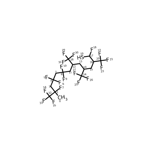 CC(F)(CC(F)(F)CC(F)(F)CC(CC(CC(C(F)S)C(F)(F)F)C(F)(F)F)C(F)(F)F)C(F)(F)F